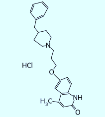 Cc1cc(=O)[nH]c2ccc(OCCCN3CCC(Cc4ccccc4)CC3)cc12.Cl